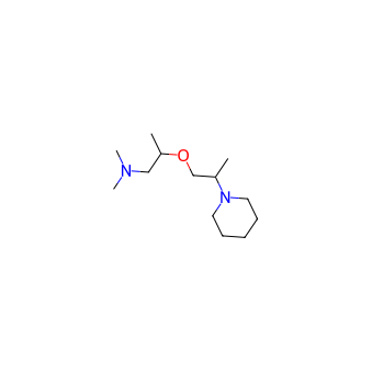 CC(CN(C)C)OCC(C)N1CCCCC1